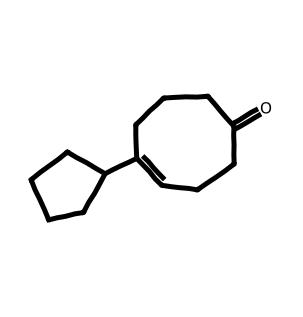 O=C1CCC=C(C2CCCC2)CCC1